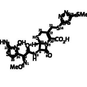 CON=C(C(=O)N[C@@H]1C(=O)N2C(C(=O)O)=C(CSc3nnc(SC)s3)CS[C@@H]12)c1csc(=N)n1O